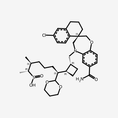 C[C@H]([C@@H](C)CCC[C@H](C1OCCCO1)[C@@H]1CC[C@H]1CN1C[C@@]2(CCCc3cc(Cl)ccc32)COc2ccc(C(N)=O)cc21)S(=O)O